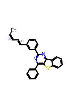 CC/C=C\C=C\c1cccc(-c2nc(-c3ccccc3)c3sc4ccccc4c3n2)c1